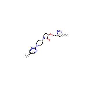 COC[C@H](N)COC1CCN(C2CCN(c3ncc(C(F)(F)F)cn3)CC2)C1=O